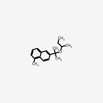 CCC(C)OC(C)(C)c1ccc2c(C)cccc2c1